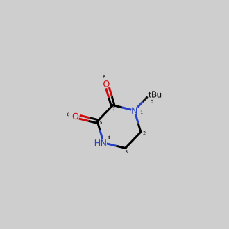 CC(C)(C)N1CCNC(=O)C1=O